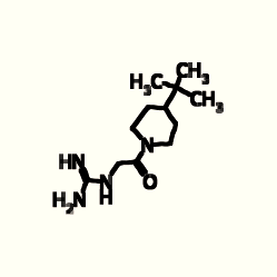 CC(C)(C)C1CCN(C(=O)CNC(=N)N)CC1